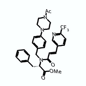 COC(=O)[C@H](Cc1ccccc1)N(Cc1ccc(N2CCN(C(C)=O)CC2)cc1)C(=O)C=Cc1ccc(C(F)(F)F)nc1